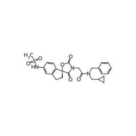 CS(=O)(=O)Nc1ccc2c(c1)CC[C@]21OC(=O)N(CC(=O)N(Cc2ccccc2)CC2CC2)C1=O